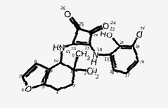 CC1(C)CCc2occc2C1Nc1c(Nc2cccc(Cl)c2O)c(=O)c1=O